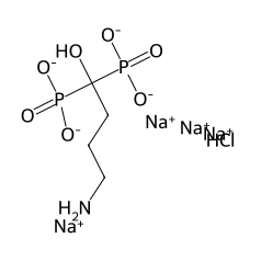 Cl.NCCCC(O)(P(=O)([O-])[O-])P(=O)([O-])[O-].[Na+].[Na+].[Na+].[Na+]